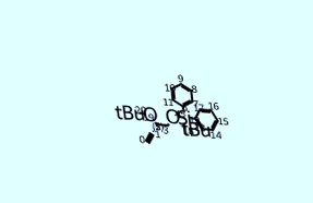 C#C[C@@H](CO[Si](c1ccccc1)(c1ccccc1)C(C)(C)C)OC(C)(C)C